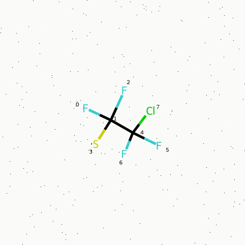 FC(F)([S])C(F)(F)Cl